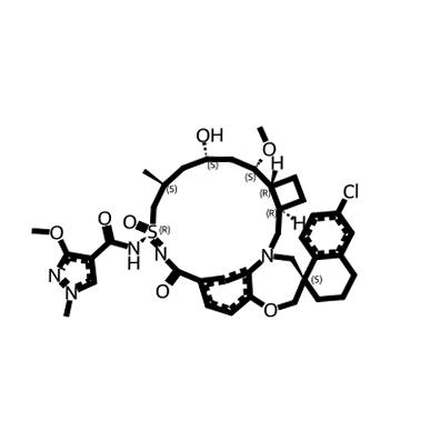 COc1nn(C)cc1C(=O)N[S@@]1(=O)=NC(=O)c2ccc3c(c2)N(C[C@@H]2CC[C@H]2[C@@H](OC)C[C@@H](O)C[C@H](C)C1)C[C@@]1(CCCc2cc(Cl)ccc21)CO3